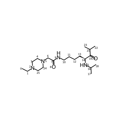 CCN1CCN(CC(=O)NCCCC[C@H](NC(C)C)C(=O)C(C)C)CC1